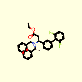 CCOC(=O)C[C@@H](c1cccc(-c2c(F)cccc2F)c1)N(Cc1ccccc1)[C@H](C)c1ccccc1